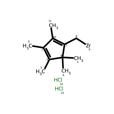 CC1=C(C)C(C)(C)C([CH2][Zr])=C1C.Cl.Cl